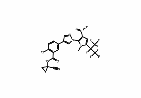 Cn1c(C(F)(C(F)(F)F)C(F)(F)F)cc([N+](=O)[O-])c1-n1cc(-c2ccc(Cl)c(C(=O)NC3(C#N)CC3)c2)cn1